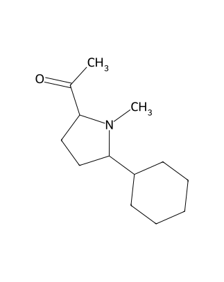 CC(=O)C1CCC(C2CCCCC2)N1C